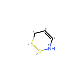 C1=CNSSC1